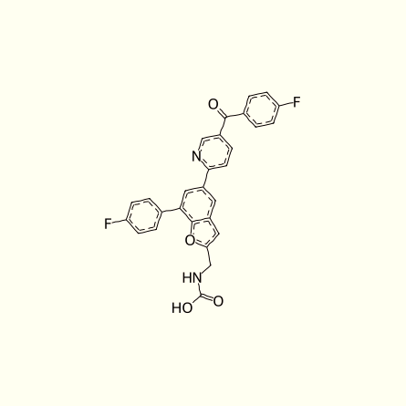 O=C(O)NCc1cc2cc(-c3ccc(C(=O)c4ccc(F)cc4)cn3)cc(-c3ccc(F)cc3)c2o1